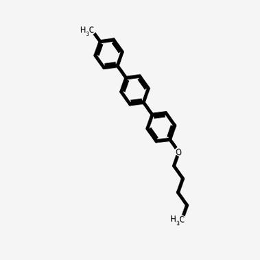 CCCCCOc1ccc(-c2ccc(-c3ccc(C)cc3)cc2)cc1